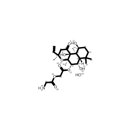 C=C[C@@]1(C)CC(=O)[C@]2(O)[C@@]3(C)[C@@H](O)CCC(C)(C)[C@@H]3[C@H](O)[C@H](OC(=O)COC(=O)CN)[C@@]2(C)O1.Cl